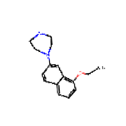 CCOc1cccc2ccc(N3CCNCC3)cc12